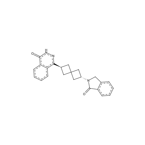 O=C1c2ccccc2CN1[C@H]1CC2(C[C@H](c3n[nH]c(=O)c4ccccc43)C2)C1